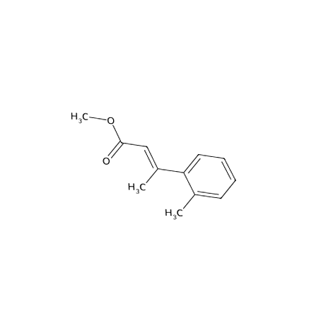 COC(=O)/C=C(\C)c1ccccc1C